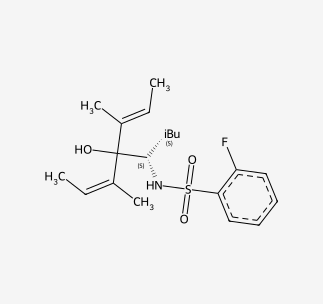 CC=C(C)C(O)(C(C)=CC)[C@@H](NS(=O)(=O)c1ccccc1F)[C@@H](C)CC